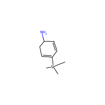 C[Si](C)(C)C1=CCC(N)C=C1